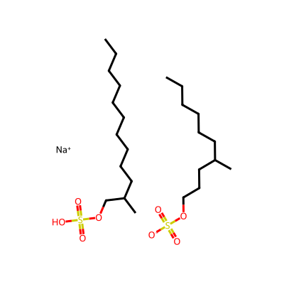 CCCCCCC(C)CCCOS(=O)(=O)[O-].CCCCCCCCCCC(C)COS(=O)(=O)O.[Na+]